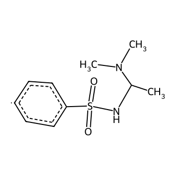 CC(NS(=O)(=O)c1cc[c]cc1)N(C)C